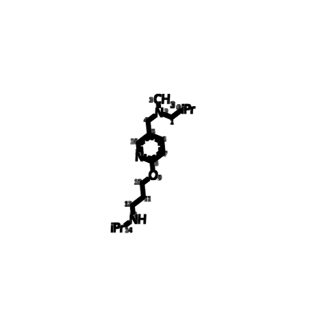 CC(C)CN(C)Cc1ccc(OCCCNC(C)C)nc1